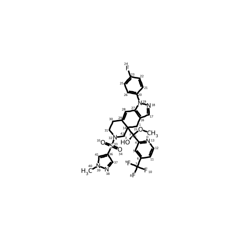 CO[C@](O)(c1cc(C(F)(F)F)ccn1)C12Cc3cnn(-c4ccc(F)cc4)c3C=C1CCN(S(=O)(=O)c1cnn(C)c1)C2